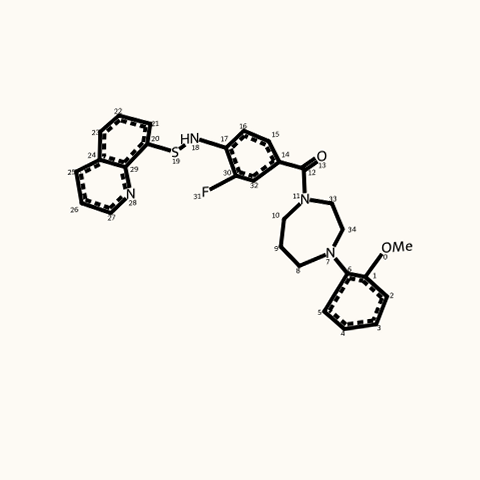 COc1ccccc1N1CCCN(C(=O)c2ccc(NSc3cccc4cccnc34)c(F)c2)CC1